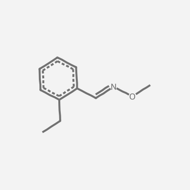 CCc1ccccc1C=NOC